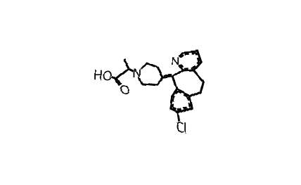 CC(C(=O)O)N1CCC(=C2c3ccc(Cl)cc3CCc3cccnc32)CC1